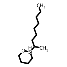 CCCCCCCC(C)[SiH]1CCCCO1